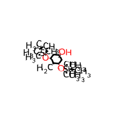 C=C1[C@H](O[Si](C)(C)C(C)(C)C)CC(O)C[C@H]1O[Si](C)(C)C(C)(C)C